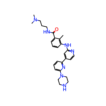 Cc1c(Nc2cc(-c3cccc(N4CCNCC4)n3)ccn2)cccc1C(=O)NCCCN(C)C